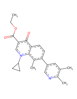 CCOC(=O)c1cn(C2CC2)c2c(C)c(-c3cnc(C)c(C)c3)ccc2c1=O